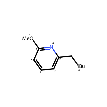 CCC(C)Cc1cccc(OC)n1